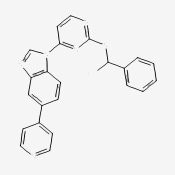 CC(Nc1nccc(-n2cnc3cc(-c4ccncc4)ccc32)n1)c1ccccc1